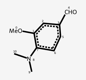 COc1cc(C=O)ccc1N(C)C